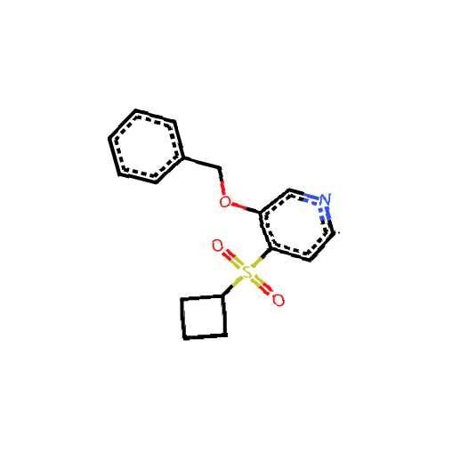 O=S(=O)(c1c[c]ncc1OCc1ccccc1)C1CCC1